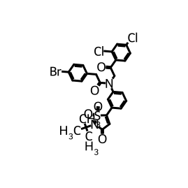 CC(C)(C)N1C(=O)C=C(c2cccc(N(CC(=O)c3ccc(Cl)cc3Cl)C(=O)Cc3ccc(Br)cc3)c2)S1(=O)=O